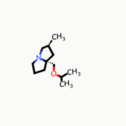 CC(C)OC[C@]12CCCN1C[C@@H](C)C2